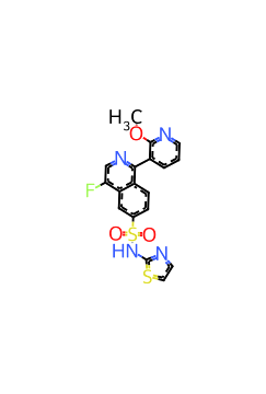 COc1ncccc1-c1ncc(F)c2cc(S(=O)(=O)Nc3nccs3)ccc12